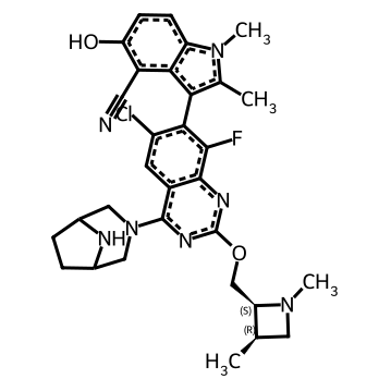 Cc1c(-c2c(Cl)cc3c(N4CC5CCC(C4)N5)nc(OC[C@@H]4[C@H](C)CN4C)nc3c2F)c2c(C#N)c(O)ccc2n1C